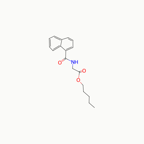 CCCCCOC(=O)CNC(=O)c1cccc2ccccc12